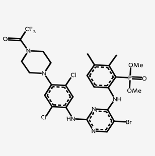 COP(=O)(OC)c1c(Nc2nc(Nc3cc(Cl)c(N4CCN(C(=O)C(F)(F)F)CC4)cc3Cl)ncc2Br)ccc(C)c1C